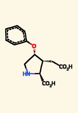 O=C(O)C[C@H]1[C@@H](Oc2ccccc2)CN[C@@H]1C(=O)O